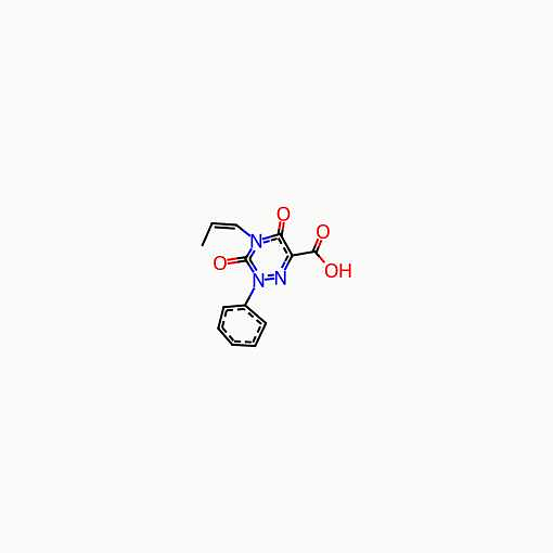 C/C=C\n1c(=O)c(C(=O)O)nn(-c2ccccc2)c1=O